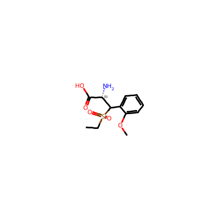 CCS(=O)(=O)C(c1ccccc1OC)[C@@H](N)C(=O)O